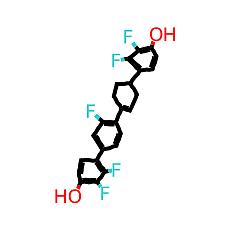 Oc1ccc(-c2ccc(C3=CCC(c4ccc(O)c(F)c4F)CC3)c(F)c2)c(F)c1F